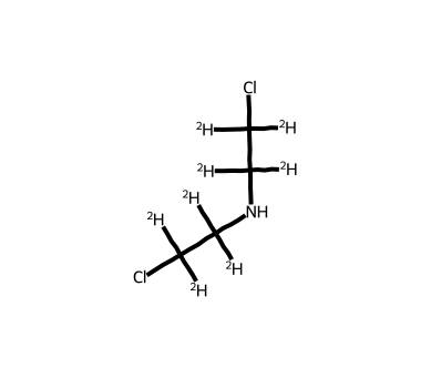 [2H]C([2H])(Cl)C([2H])([2H])NC([2H])([2H])C([2H])([2H])Cl